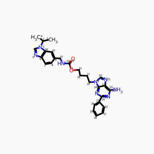 CC(C)n1cnc2ccc(CNC(=O)OCCCCn3cnc4c(N)nc(-c5ccccc5)nc43)cc21